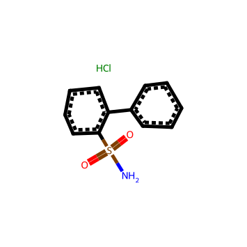 Cl.NS(=O)(=O)c1ccccc1-c1ccccc1